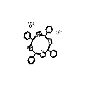 C1=Cc2nc1c(-c1ccccc1)c1ccc([nH]1)c(-c1ccccc1)c1nc(c(-c3ccccc3)c3ccc([nH]3)c2-c2ccccc2)C=C1.[O-2].[O-2].[V+4]